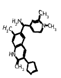 C=C1Nc2cc(C)c(C(N)C3=CCN(C)C(C)=C3)cc2C=C1C1CCCC1